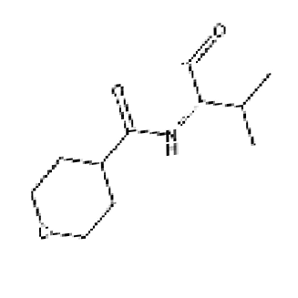 CC(C)[C@@H]([C]=O)NC(=O)C1CCOCC1